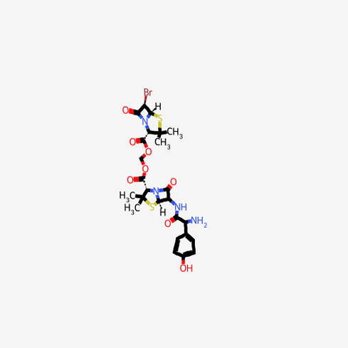 CC1(C)S[C@@H]2C(NC(=O)C(N)c3ccc(O)cc3)C(=O)N2[C@H]1C(=O)OCOC(=O)[C@@H]1N2C(=O)[C@@H](Br)[C@H]2SC1(C)C